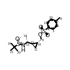 Cc1ccc(S(=O)(=O)OC[C@@H]2C[C@H]2[C@@H](C)N[S@+]([O-])C(C)(C)C)cc1